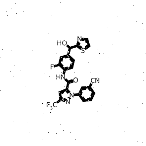 N#Cc1cccc(-n2nc(C(F)(F)F)cc2C(=O)Nc2ccc(C(O)c3nccs3)cc2F)c1